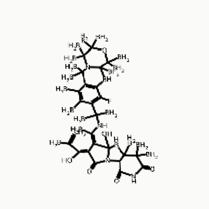 BC(=C)/C(O)=C1/C(=O)N2C3C(=O)NC(=O)C(B)(B)C3(B)BC2(O)/C1=C(/B)NC(B)(B)c1c(B)c(B)c2c(c1F)BC1(B)N(C2(B)B)C(B)(B)C(B)(B)OC1(B)B